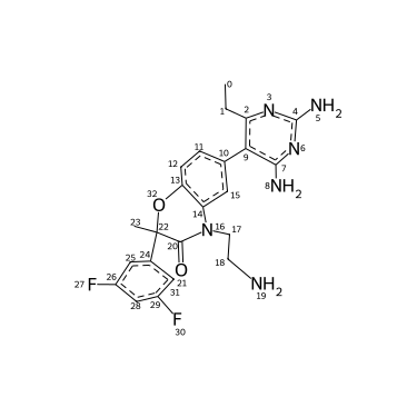 CCc1nc(N)nc(N)c1-c1ccc2c(c1)N(CCN)C(=O)C(C)(c1cc(F)cc(F)c1)O2